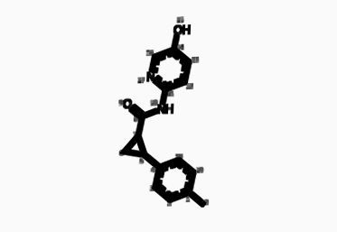 Cc1ccc(C2CC2C(=O)Nc2ccc(O)cn2)cc1